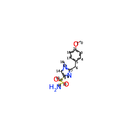 COc1ccc(Cc2nc(S(N)(=O)=O)cn2C)cc1